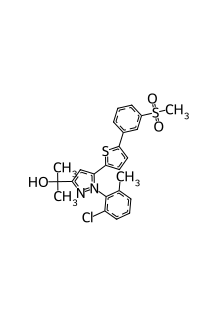 Cc1cccc(Cl)c1-n1nc(C(C)(C)O)cc1-c1ccc(-c2cccc(S(C)(=O)=O)c2)s1